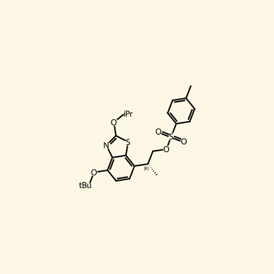 Cc1ccc(S(=O)(=O)OC[C@H](C)c2ccc(OC(C)(C)C)c3nc(OC(C)C)sc23)cc1